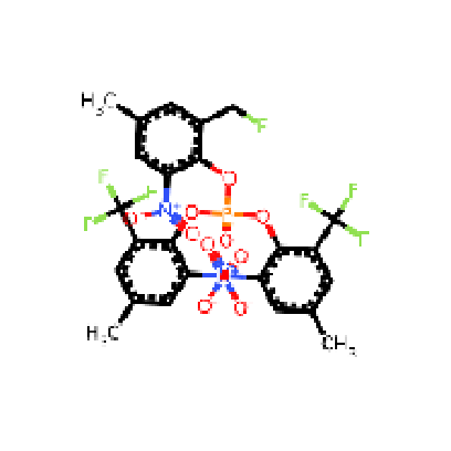 Cc1cc(CF)c(OP(=O)(Oc2c([N+](=O)[O-])cc(C)cc2C(F)(F)F)Oc2c([N+](=O)[O-])cc(C)cc2C(F)(F)F)c([N+](=O)[O-])c1